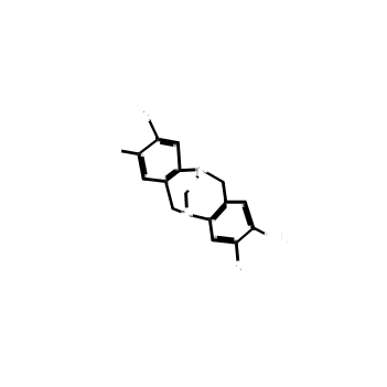 Cc1cc2c(cc1N)N1CCN(C2)c2cc(N)c(C)cc2C1